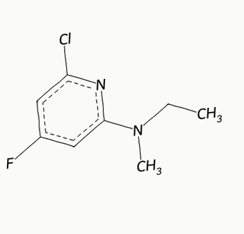 CCN(C)c1cc(F)cc(Cl)n1